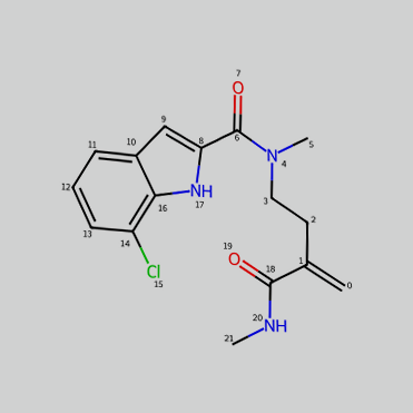 C=C(CCN(C)C(=O)c1cc2cccc(Cl)c2[nH]1)C(=O)NC